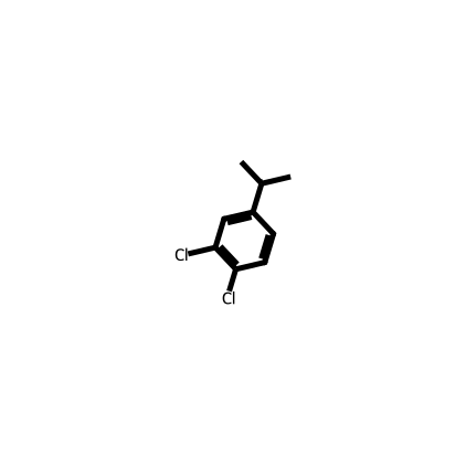 C[C](C)c1ccc(Cl)c(Cl)c1